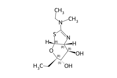 CC[C@H]1O[C@@H]2SC(N(C)CC)=N[C@@H]2[C@@H](O)[C@@H]1O